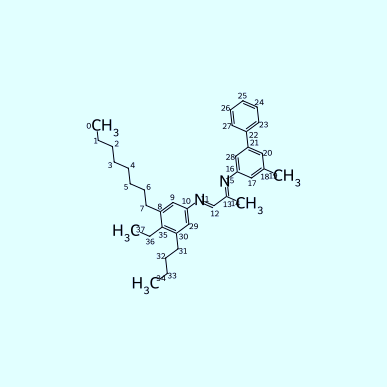 CCCCCCCCc1cc(N=CC(C)=Nc2cc(C)cc(-c3ccccc3)c2)cc(CCCC)c1CC